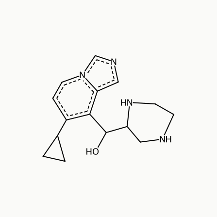 OC(c1c(C2CC2)ccn2cncc12)C1CNCCN1